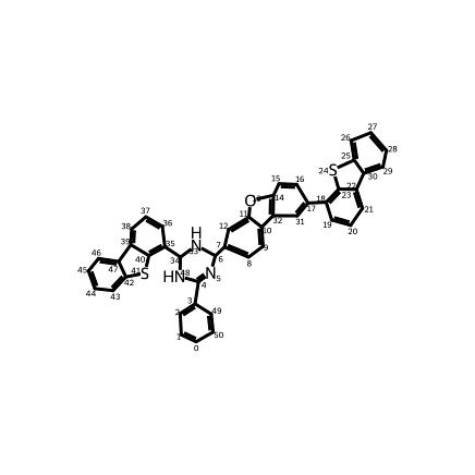 c1ccc(C2=NC(c3ccc4c(c3)oc3ccc(-c5cccc6c5sc5ccccc56)cc34)NC(c3cccc4c3sc3ccccc34)N2)cc1